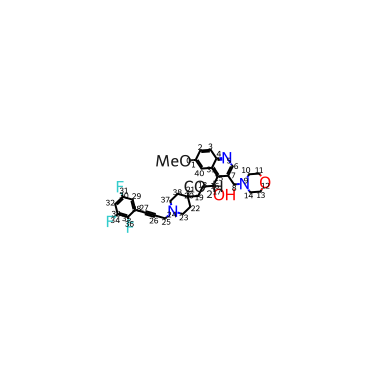 COc1ccc2ncc(CN3CCOCC3)c([C@@H](O)CCC3(C(=O)O)CCN(CC#Cc4cc(F)cc(F)c4F)CC3)c2c1